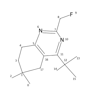 CC1(C)CCc2nc(CF)nc(C(C)(C)C)c2C1